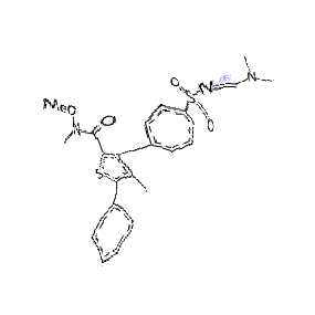 CON(C)C(=O)c1sc(-c2cc[c]cc2)c(C)c1-c1ccc(S(=O)(=O)/N=C/N(C)C)cc1